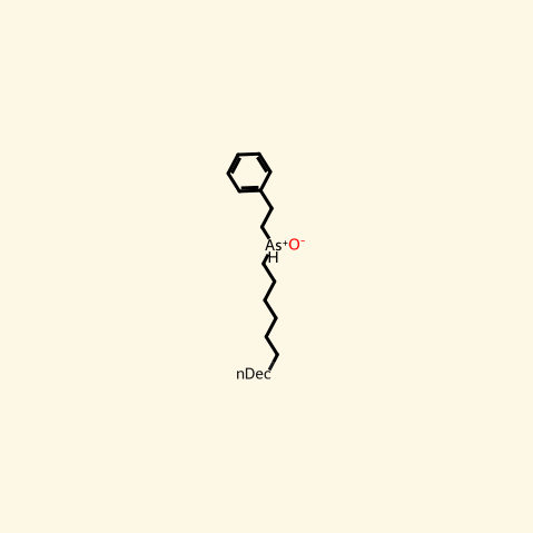 CCCCCCCCCCCCCCCC[AsH+]([O-])CCc1ccccc1